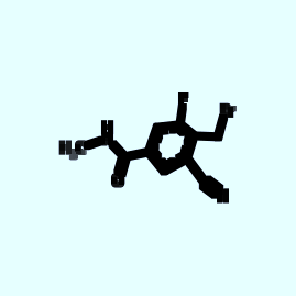 CNC(=O)c1cc(F)c(CBr)c(C#N)c1